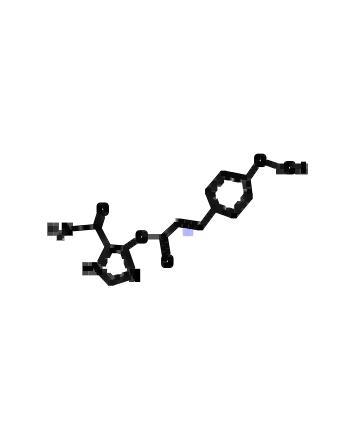 CCCCCCCCOc1ccc(/C=C/C(=O)Oc2nc[nH]c2C(N)=O)cc1